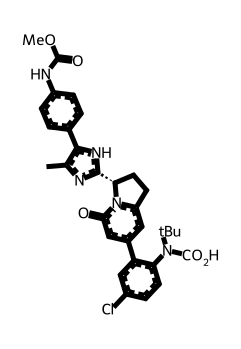 COC(=O)Nc1ccc(-c2[nH]c([C@@H]3CCc4cc(-c5cc(Cl)ccc5N(C(=O)O)C(C)(C)C)cc(=O)n43)nc2C)cc1